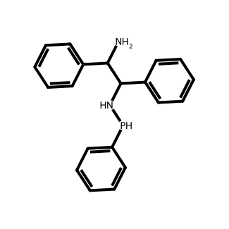 NC(c1ccccc1)C(NPc1ccccc1)c1ccccc1